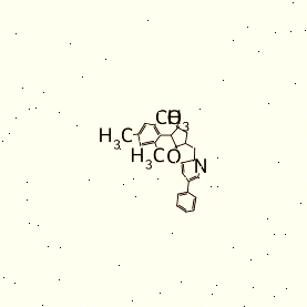 Cc1cc(C)c(C2C(=O)CC(Cc3ccc(-c4ccccc4)cn3)C2=O)c(C)c1